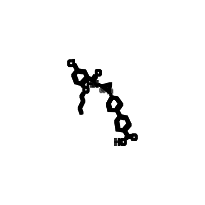 CCCCOc1ccc(Cl)cc1C(=O)N[C@H]1C[C@@H]1C1C=CC(c2ccc(C(=O)O)cc2)=CC1